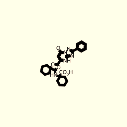 O=C(O)C1(NC(=O)C2(OCc3cc(=O)n4nc(-c5ccccc5)nc4[nH]3)CCCCC2)CCCCC1